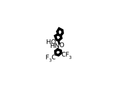 O=C(Nc1cc(C(F)(F)F)cc(C(F)(F)F)c1)c1cc2ccccc2cc1O